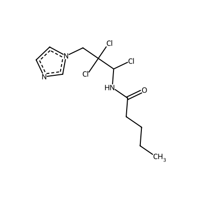 CCCCC(=O)NC(Cl)C(Cl)(Cl)Cn1ccnc1